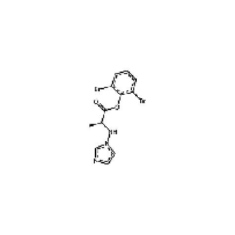 C[C@H](Nn1ccnc1)C(=O)Oc1c(Br)cccc1Br